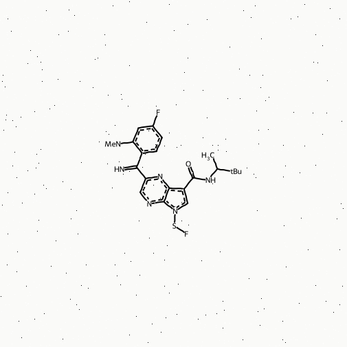 CNc1cc(F)ccc1C(=N)c1cnc2c(n1)c(C(=O)NC(C)C(C)(C)C)cn2SF